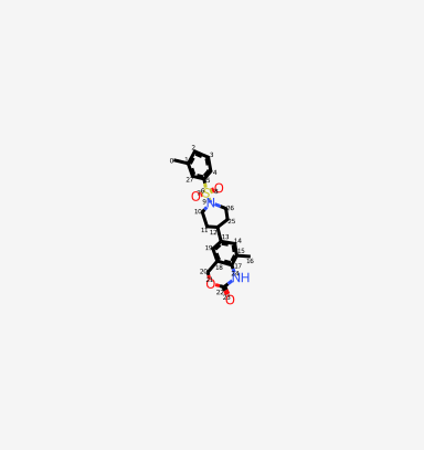 Cc1cccc(S(=O)(=O)N2CCC(c3cc(C)c4c(c3)COC(=O)N4)CC2)c1